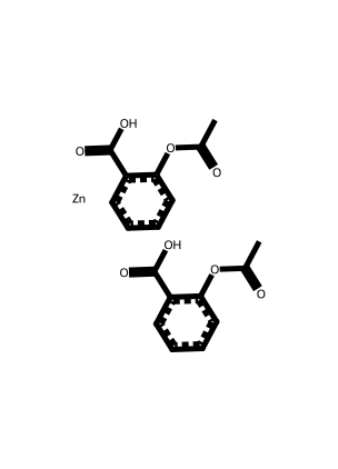 CC(=O)Oc1ccccc1C(=O)O.CC(=O)Oc1ccccc1C(=O)O.[Zn]